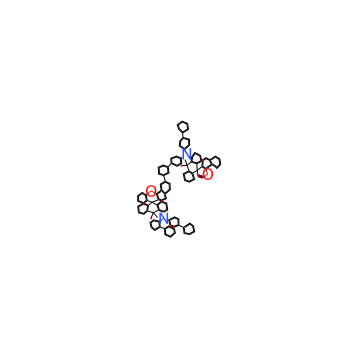 CC1(C)c2ccccc2C2(c3ccccc3Oc3c2ccc2ccccc32)c2cccc(N(c3ccc(-c4ccccc4)cc3)c3ccc(-c4cccc(-c5ccc6ccc7c(c6c5)Oc5ccccc5C75c6ccccc6C(C)(C)c6c(N(c7ccc(-c8ccccc8)cc7)c7ccccc7-c7ccccc7)cccc65)c4)cc3)c21